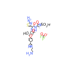 C[C@@H]1[C@H](NC(=O)/C(=N\OC(C)(COc2ccc(-c3cn(CCCN)[n+](C)c3)cc2)C(=O)O)c2csc(N)n2)C(=O)N1S(=O)(=O)O.O=C([O-])C(F)(F)F